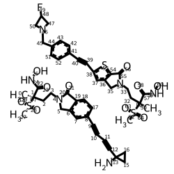 C[C@@](CCN1Cc2cc(C#CC#CC3(N)CC3)ccc2C1=O)(C(=O)NO)S(C)(=O)=O.C[C@@](CCN1Cc2cc(C#Cc3ccc(CN4CC(F)C4)cc3)sc2C1=O)(C(=O)NO)S(C)(=O)=O